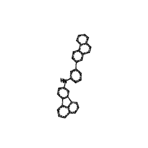 c1cc(Nc2ccc3c(c2)-c2cccc4cccc-3c24)cc(-c2ccc3c(ccc4ccccc43)c2)c1